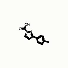 Cc1ccc(-c2ccn(C(=O)O)n2)cc1